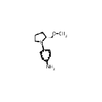 COC[C@H]1CCCN1c1ccc(N)cc1